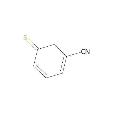 N#CC1=CC=CC(=S)C1